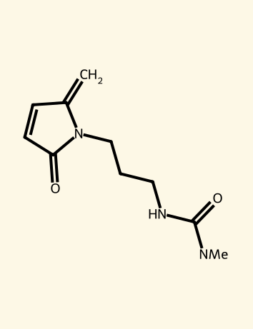 C=C1C=CC(=O)N1CCCNC(=O)NC